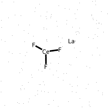 [F][Ce]([F])[F].[La]